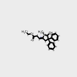 CCOC(=O)C/C=C1/CC(c2ccccc2)(c2ccccc2)C(C)N1C